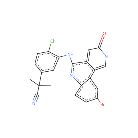 CC(C)(C#N)c1ccc(Cl)c(Nc2nc3ccc(Br)cc3c3c2=CC(=O)[N]C=3)c1